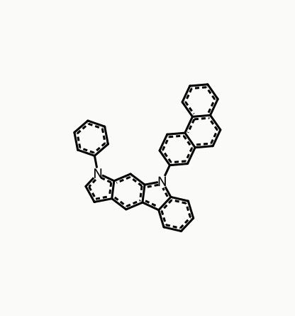 c1ccc(-n2ccc3cc4c5ccccc5n(-c5ccc6c(ccc7ccccc76)c5)c4cc32)cc1